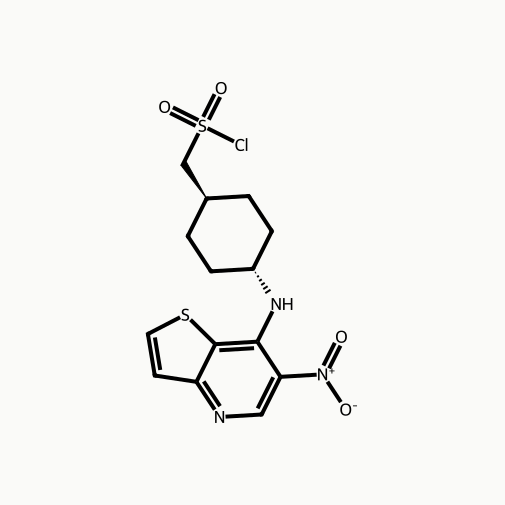 O=[N+]([O-])c1cnc2ccsc2c1N[C@H]1CC[C@H](CS(=O)(=O)Cl)CC1